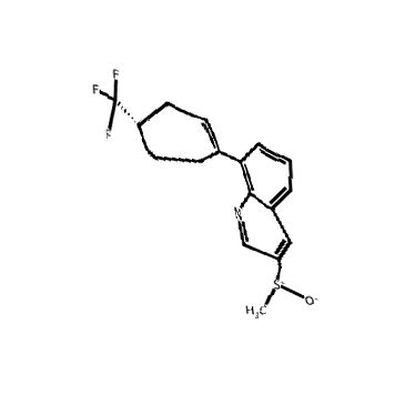 C[S+]([O-])c1cnc2c(C3=CC[C@@H](C(F)(F)F)CC3)cccc2c1